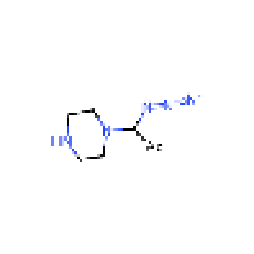 CC(=O)C(N=[N+]=[N-])N1CCNCC1